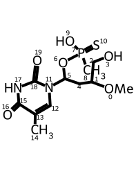 COC(CO)CC(OP(C)(O)=S)n1cc(C)c(=O)[nH]c1=O